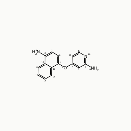 Nc1cc(Oc2ccc(N)c3ccccc23)ccn1